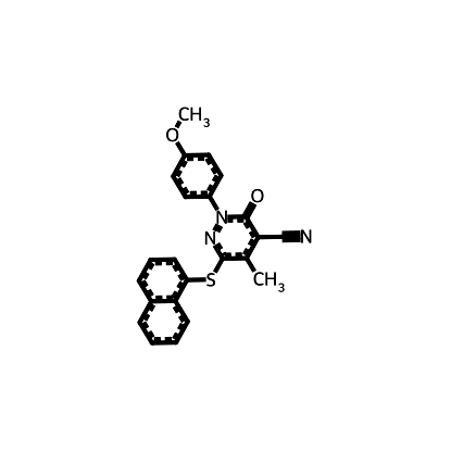 COc1ccc(-n2nc(Sc3cccc4ccccc34)c(C)c(C#N)c2=O)cc1